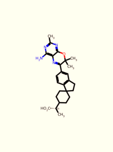 Cc1nc(N)c2c(n1)OC(C)(C)C(c1ccc3c(c1)CCC31CCC([C@H](C)C(=O)O)CC1)=N2